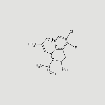 C[SiH](C)OC(Cc1c(NC=C(C(=O)O)C(=O)O)ccc(Cl)c1F)C(C)(C)C